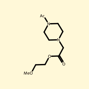 COCCOC(=O)CN1CCN(C(C)=O)CC1